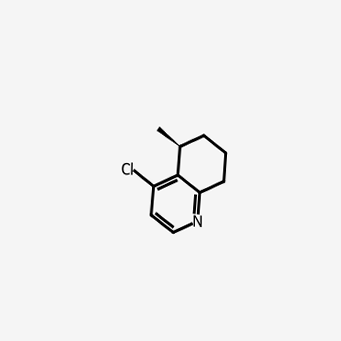 C[C@H]1CCCc2nccc(Cl)c21